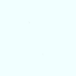 CC(=O)C=CC1CCC(C)(C)CCC=C1C